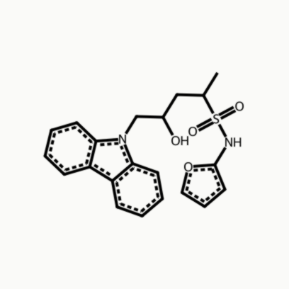 CC(CC(O)Cn1c2ccccc2c2ccccc21)S(=O)(=O)Nc1ccco1